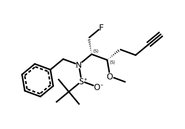 C#CCC[C@H](OC)[C@@H](CF)N(Cc1ccccc1)[S+]([O-])C(C)(C)C